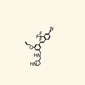 C=CCOc1cc(/C=C/c2ccc(C#N)cc2C(F)(F)F)cc(CNCC2CCNC2)c1